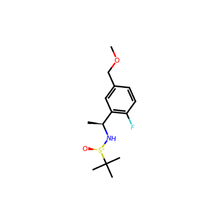 COCc1ccc(F)c([C@H](C)N[S@+]([O-])C(C)(C)C)c1